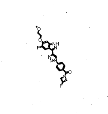 COCCOc1cc2[nH]nc(-c3cn(-c4ccc(C(=O)N5CC(F)C5)cc4)nn3)c2cc1F